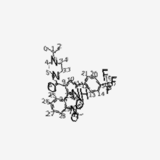 CC(C)N1CCN(C(=O)c2cc(-c3ccc(C(F)(F)F)cc3)[nH]c2-c2ccccc2[N+](=O)[O-])CC1